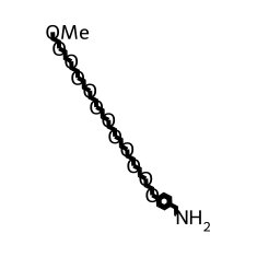 COCCOCCOCCOCCOCCOCCOCCOCCOCCOCCOCCOc1ccc(CCN)cc1